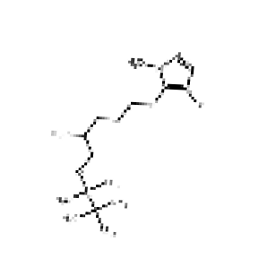 CC(CCCOc1c(Br)cnn1C)CO[Si](C)(C)C(C)(C)C